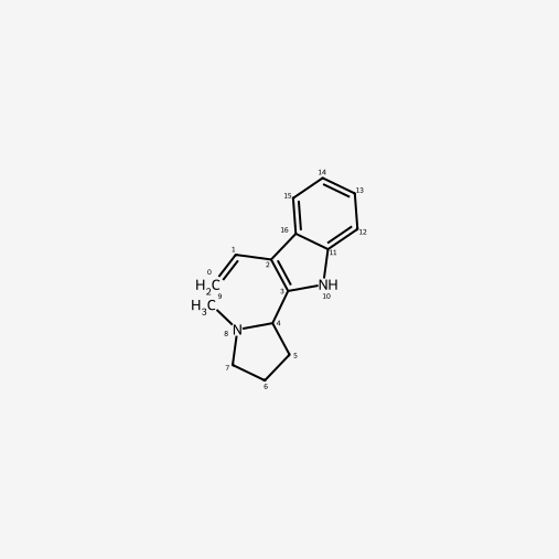 C=Cc1c(C2CCCN2C)[nH]c2ccccc12